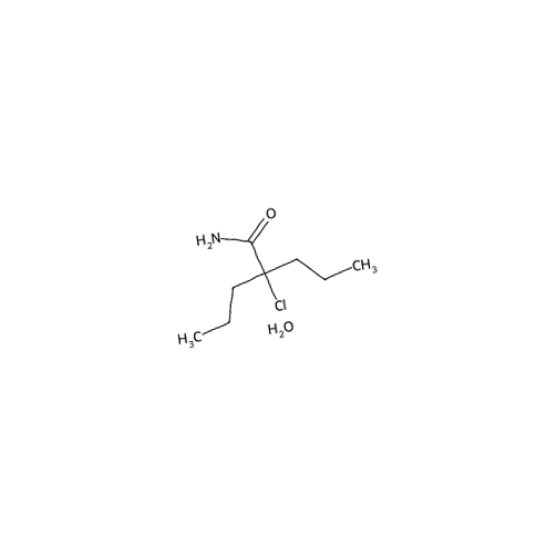 CCCC(Cl)(CCC)C(N)=O.O